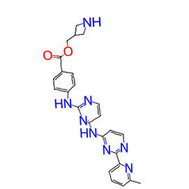 Cc1cccc(-c2nccc(Nc3ccnc(Nc4ccc(C(=O)OCC5CNC5)cc4)n3)n2)n1